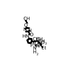 C#CCOc1cnc(C(=O)Nc2ccc(F)c([C@@]3(C)N=C(N)S[C@](C)(C(=O)NCC)C3C)c2)cn1